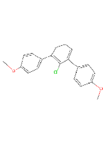 COc1ccc(C2=CC[CH]C(c3ccc(OC)cc3)=C2Cl)cc1